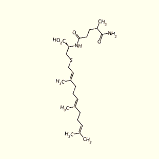 CC(C)=CCC/C(C)=C/CC/C(C)=C/CSC[C@H](NC(=O)CCC(C)C(N)=O)C(=O)O